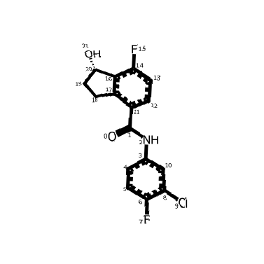 O=C(Nc1ccc(F)c(Cl)c1)c1ccc(F)c2c1CC[C@@H]2O